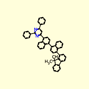 CC1(C)c2ccccc2-c2cccc(-c3ccc(-c4ccc(-c5cc(-c6ccccc6)nc(-c6ccccc6)n5)c5ccccc45)c4ccccc34)c21